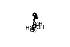 COC(=O)[C@]1(O)C=C(CCCc2csc3ccccc23)[C@@H](O)C(O)C1